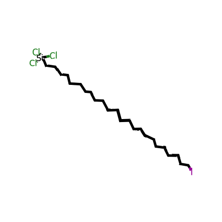 Cl[Si](Cl)(Cl)CCCCCCCCCCCCCCCCCCCCCCCCI